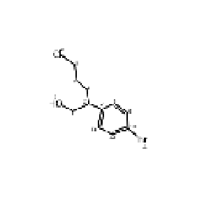 OCC(CCCCl)c1ccc(Br)cc1